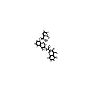 Cc1c(C(=O)NC(CCNC(=O)c2cccn2C)Cc2ccccc2)nc2cccc(C)c2c1C